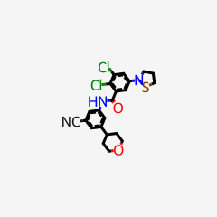 N#Cc1cc(NC(=O)c2cc(N3CCCS3)cc(Cl)c2Cl)cc(C2CCOCC2)c1